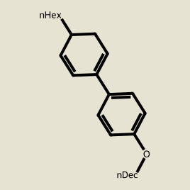 CCCCCCCCCCOc1ccc(C2=CCC(CCCCCC)C=C2)cc1